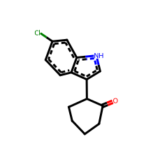 O=C1CCCCC1c1c[nH]c2cc(Cl)ccc12